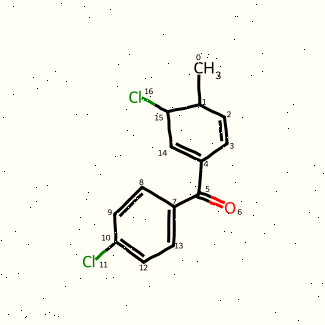 CC1C=CC(C(=O)c2ccc(Cl)cc2)=CC1Cl